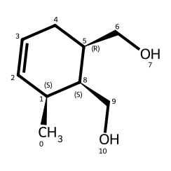 C[C@H]1C=CC[C@@H](CO)[C@H]1CO